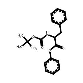 CC(C)(C)OC(=O)NC(Cc1ccccc1)C(=O)Oc1ccccc1